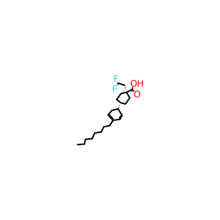 CCCCCCCCC1=CCC([C@H]2CC[C@](CC(F)F)(C(=O)O)CC2)C=C1